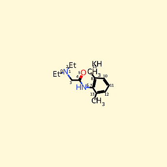 CCN(CC)CC(=O)Nc1c(C)cccc1C.[KH]